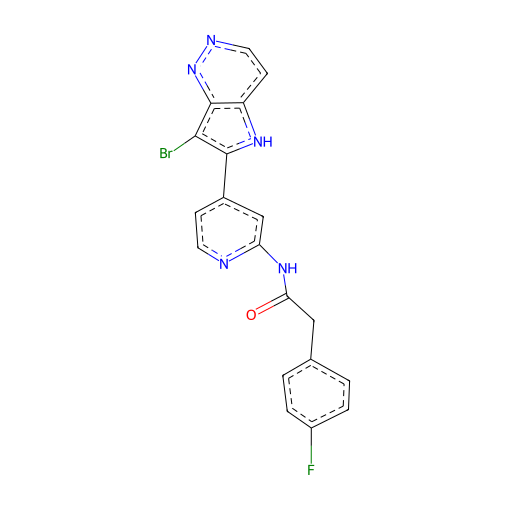 O=C(Cc1ccc(F)cc1)Nc1cc(-c2[nH]c3ccnnc3c2Br)ccn1